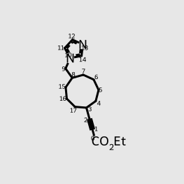 CCOC(=O)C#CC1CCCCC(Cn2ccnc2)CCC1